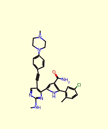 CNc1ncc(C#Cc2ccc(N3CCN(C)CC3)cc2)c(-c2cc(C(N)=O)c(-c3cc(Cl)ccc3C)[nH]2)n1